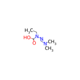 CCN(/N=C/N(C)C)C(=O)O